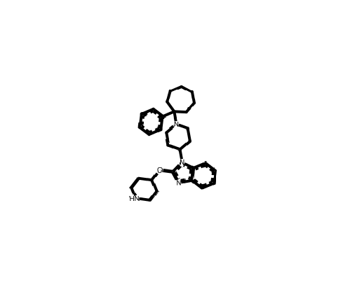 c1ccc(C2(N3CCC(n4c(OC5CCNCC5)nc5ccccc54)CC3)CCCCCC2)cc1